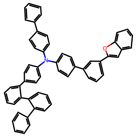 c1ccc(-c2ccc(N(c3ccc(-c4cccc(-c5cc6ccccc6o5)c4)cc3)c3ccc(-c4ccccc4-c4ccccc4-c4ccccc4)cc3)cc2)cc1